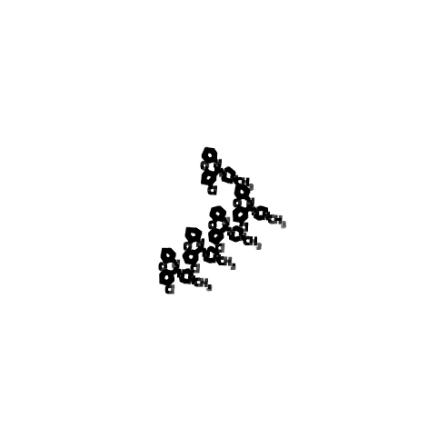 CN1CCN(C2=Nc3ccccc3Oc3ccc(Cl)cc32)CC1.CN1CCN(C2=Nc3ccccc3Oc3ccc(Cl)cc32)CC1.CN1CCN(C2=Nc3ccccc3Oc3ccc(Cl)cc32)CC1.CN1CCN(C2=Nc3ccccc3Oc3ccc(Cl)cc32)CC1.CN1CCN(C2=Nc3ccccc3Oc3ccc(Cl)cc32)CC1